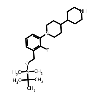 CC(C)(C)[Si](C)(C)OCc1cccc(N2CCC(C3CCNCC3)CC2)c1F